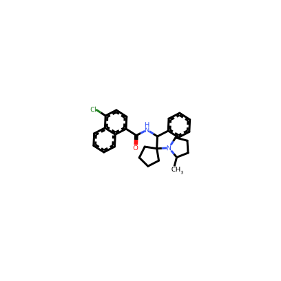 CC1CCCN1C1(C(NC(=O)c2ccc(Cl)c3ccccc23)c2ccccc2)CCCC1